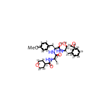 COc1ccc(C[C@H](NC(=O)[C@@H](C)NC(=O)C2CCOCC2)C(=O)N[C@@H](Cc2ccccc2)C(=O)[C@H]2CO2)cc1